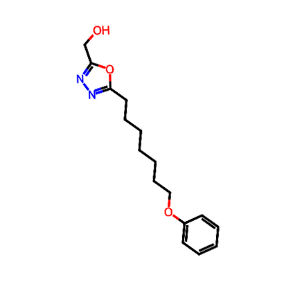 OCc1nnc(CCCCCCCOc2ccccc2)o1